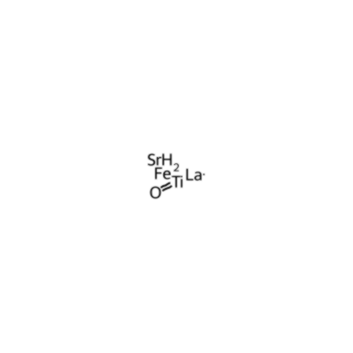 [Fe].[La].[O]=[Ti].[SrH2]